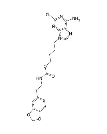 Nc1nc(Cl)nc2c1ncn2CCCCOC(=O)NCCc1ccc2c(c1)OCO2